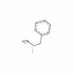 C[C@H]([15NH2])Cc1ccccc1